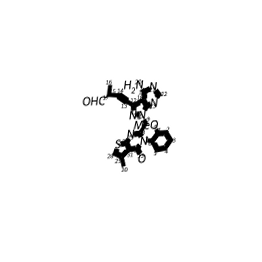 COc1ccccc1-n1c(Cn2nc(C#C[C@@H](C)C=O)c3c(N)ncnc32)nc2scc(C)c2c1=O